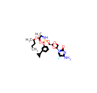 CCC[C@H](C)OC(=O)[C@H](C)NP(OC[C@H]1OC[C@@H](n2cc(F)c(N)nc2=O)O1)Oc1cccc(C2CC2)c1